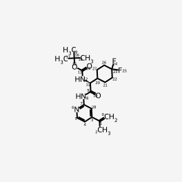 C=C(C)c1ccnc(NC(=O)[C@@H](NC(=O)OC(C)(C)C)C2CCC(F)(F)CC2)c1